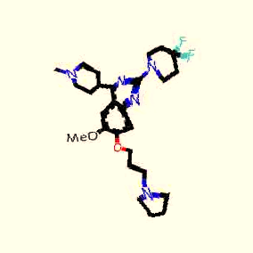 COc1cc2c(C3CCN(C)CC3)nc(N3CCC(F)(F)CC3)nc2cc1OCCCN1CCCC1